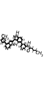 CCCCC(=O)Nc1cncc(-c2ccc3[nH]nc(-c4cc5c(-c6ccc(C)s6)cncc5[nH]4)c3c2)c1